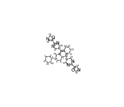 c1ccc(-c2ccc3c(-c4cnc(-c5cnco5)nc4)c4ccccc4c(-c4cnc(-c5cnco5)nc4)c3c2)cc1